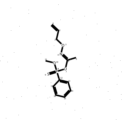 C=CCON=C(C)OP(=S)(OC)c1ccccc1